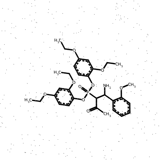 CCOc1ccc(OP(=O)(Oc2ccc(OCC)cc2OCC)C(C(C)=O)C(N)c2ccccc2OC)c(OCC)c1